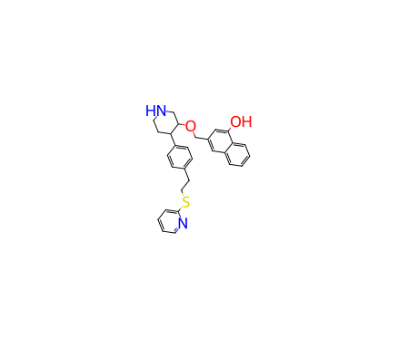 Oc1cc(COC2CNCCC2c2ccc(CCSc3ccccn3)cc2)cc2ccccc12